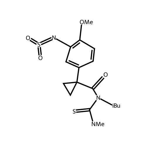 CCC(C)N(C(=O)C1(c2ccc(OC)c(N=S(=O)=O)c2)CC1)C(=S)NC